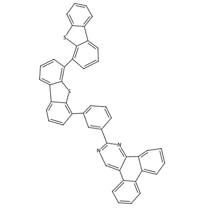 c1cc(-c2ncc3c4ccccc4c4ccccc4c3n2)cc(-c2cccc3c2sc2c(-c4cccc5c4sc4ccccc45)cccc23)c1